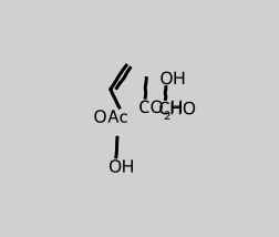 C=COC(C)=O.CC(=O)O.CO.O=CO